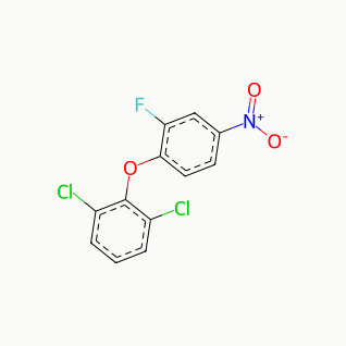 O=[N+]([O-])c1ccc(Oc2c(Cl)cccc2Cl)c(F)c1